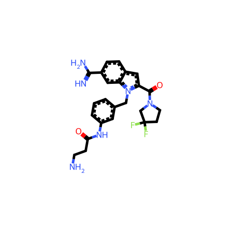 N=C(N)c1ccc2cc(C(=O)N3CCC(F)(F)C3)n(Cc3cccc(NC(=O)CCN)c3)c2c1